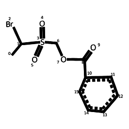 CC(Br)S(=O)(=O)COC(=O)c1ccccc1